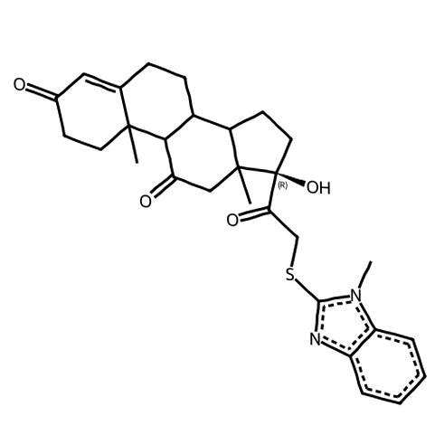 Cn1c(SCC(=O)[C@@]2(O)CCC3C4CCC5=CC(=O)CCC5(C)C4C(=O)CC32C)nc2ccccc21